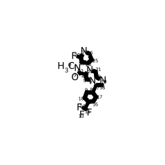 CN(C(=O)c1cn2c(-c3ccc(C(F)(F)F)cc3)cnc2cn1)c1cccnc1F